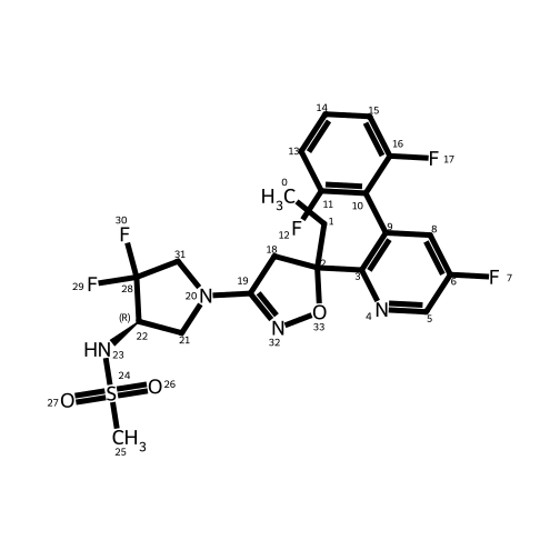 CCC1(c2ncc(F)cc2-c2c(F)cccc2F)CC(N2C[C@@H](NS(C)(=O)=O)C(F)(F)C2)=NO1